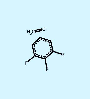 C=O.Fc1cccc(F)c1F